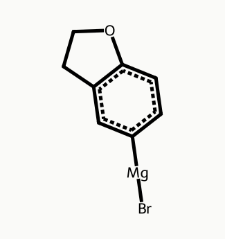 [Br][Mg][c]1ccc2c(c1)CCO2